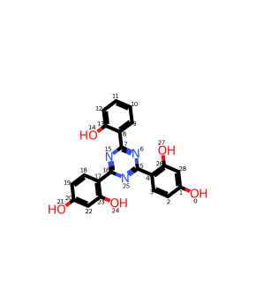 Oc1ccc(-c2nc(-c3ccccc3O)nc(-c3ccc(O)cc3O)n2)c(O)c1